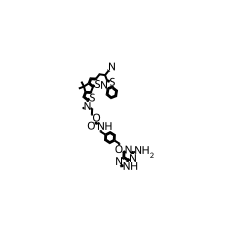 CN(CCOC(=O)NCc1ccc(COc2nc(N)nc3[nH]cnc23)cc1)c1cc2c(s1)-c1sc(CC(C#N)c3nc4ccccc4s3)cc1C2(C)C